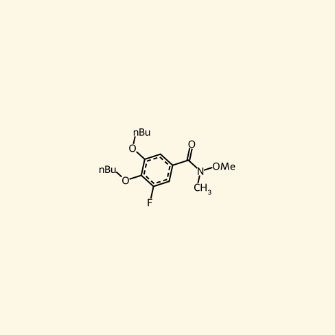 CCCCOc1cc(C(=O)N(C)OC)cc(F)c1OCCCC